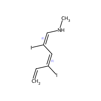 C=C/C(I)=C\C(I)=C/NC